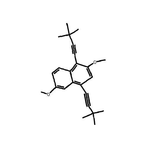 COc1ccc2c(C#CC(C)(C)C)c(OC)cc(C#CC(C)(C)C)c2c1